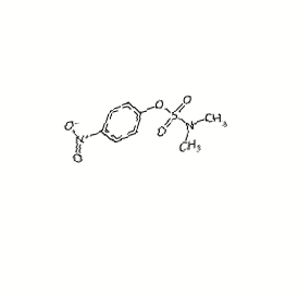 CN(C)S(=O)(=O)Oc1ccc([N+](=O)[O-])cc1